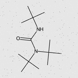 CC(C)(C)NC(=O)N(C(C)(C)C)C(C)(C)C